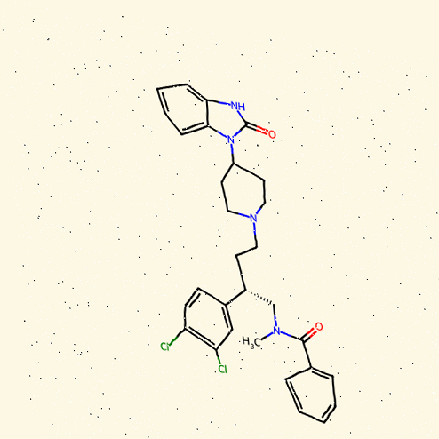 CN(C[C@@H](CCN1CCC(n2c(=O)[nH]c3ccccc32)CC1)c1ccc(Cl)c(Cl)c1)C(=O)c1ccccc1